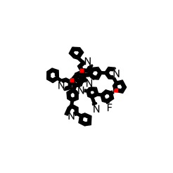 N#Cc1cc(-n2c3cc(-c4ccnc(-c5ccccc5)c4)ccc3c3ccc(-c4ccnc(-c5ccccc5)c4)cc32)c(-n2c3cc(-c4ccnc(-c5ccccc5)c4)ccc3c3ccc(-c4ccnc(-c5ccccc5)c4)cc32)cc1-c1cc(F)cc(F)c1